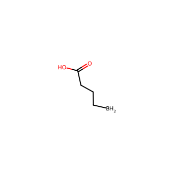 BCCCC(=O)O